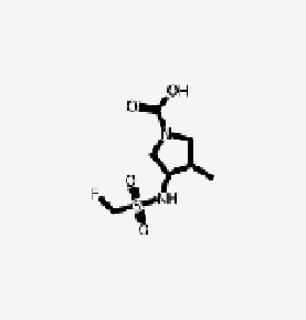 CC1CN(C(=O)O)CC1NS(=O)(=O)CF